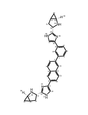 c1cc(-c2ccc3cc(-c4c[nH]c([C@@H]5CC6C[C@H]6N5)n4)ccc3c2)cc(-c2c[nH]c([C@@H]3CC4C[C@H]4N3)n2)c1